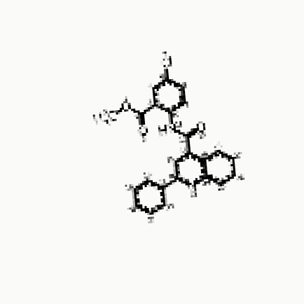 COC(=O)c1cc(Cl)ccc1NC(=O)c1cc(-c2ccccc2)nc2ccccc12